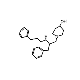 OC1CCN(CC(Cc2ccccc2)NCCCc2ccccc2)CC1